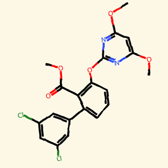 COC(=O)c1c(Oc2nc(OC)cc(OC)n2)cccc1-c1cc(Cl)cc(Cl)c1